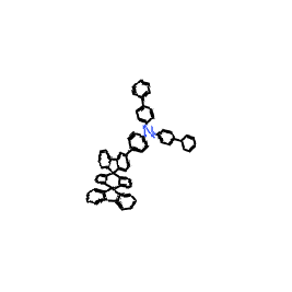 c1ccc(-c2ccc(N(c3ccc(-c4ccccc4)cc3)c3ccc(-c4ccc5c(c4)-c4ccccc4C54c5ccccc5C5(c6ccccc6-c6ccccc65)c5ccccc54)cc3)cc2)cc1